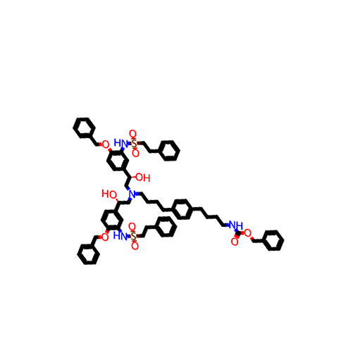 O=C(NCCCCc1ccc(CCCCN(C[C@@H](O)c2ccc(OCc3ccccc3)c(NS(=O)(=O)CCc3ccccc3)c2)C[C@@H](O)c2ccc(OCc3ccccc3)c(NS(=O)(=O)CCc3ccccc3)c2)cc1)OCc1ccccc1